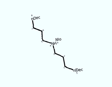 CCCCCCCCCCCCCNCCCCCCCCCCCCC.[Mo]